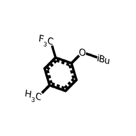 CCC(C)Oc1ccc(C)cc1C(F)(F)F